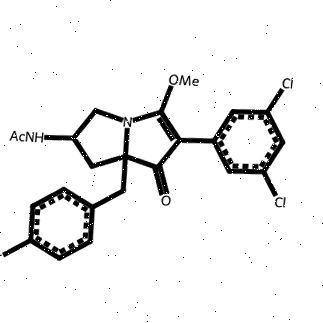 COC1=C(c2cc(Cl)cc(Cl)c2)C(=O)C2(Cc3ccc(Br)cc3)CC(NC(C)=O)CN12